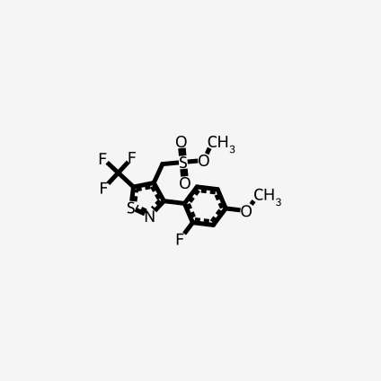 COc1ccc(-c2nsc(C(F)(F)F)c2CS(=O)(=O)OC)c(F)c1